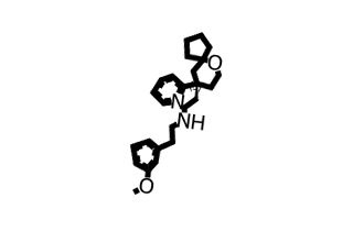 COc1cccc(CCNCC[C@]2(c3ccccn3)CCOC3(CCCC3)C2)c1